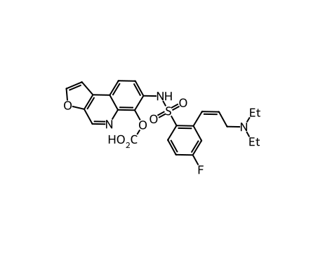 CCN(CC)C/C=C\c1cc(F)ccc1S(=O)(=O)Nc1ccc2c(ncc3occc32)c1OC(=O)O